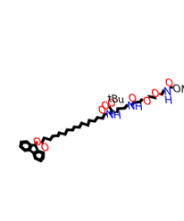 COC(=O)NCCOCCOCCC(=O)NCCCC[C@H](NC(=O)CCCCCCCCCCCCCCCCC(=O)OC1c2ccccc2-c2ccccc21)C(=O)OC(C)(C)C